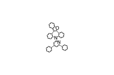 c1ccc(-c2cc(-c3ccccc3)nc(N3c4ccccc4-c4oc5ccccc5c4-c4ccccc43)c2)cc1